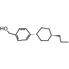 CCC[C@H]1CC[C@H](c2ccc(CO)cc2)CC1